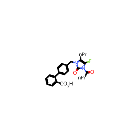 CCCC(=O)n1c(F)c(CCC)n(Cc2ccc(-c3ccccc3C(=O)O)cc2)c1=O